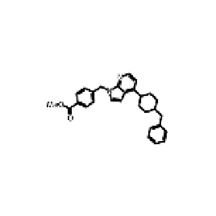 COC(=O)c1ccc(Cn2ccc3c(C4CCC(Cc5ccccc5)CC4)ccnc32)cc1